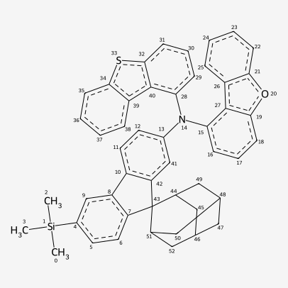 C[Si](C)(C)c1ccc2c(c1)-c1ccc(N(c3cccc4oc5ccccc5c34)c3cccc4sc5ccccc5c34)cc1C21C2CC3CC(C2)CC1C3